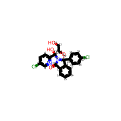 CC(O)(c1ccc(Cl)cn1)N1C(=O)c2ccccc2[C@]1(OCCO)c1ccc(Cl)cc1